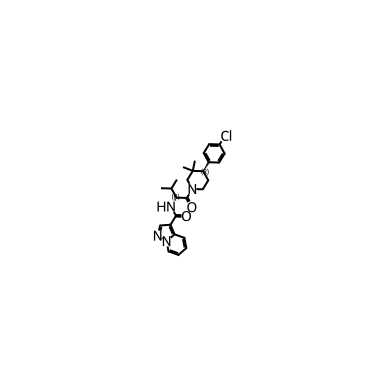 CC(C)[C@@H](NC(=O)c1cnn2ccccc12)C(=O)N1CC[C@H](c2ccc(Cl)cc2)C(C)(C)C1